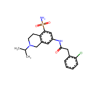 CC(C)N1CCc2c(cc(NC(=O)Cc3ccccc3Cl)cc2S(N)(=O)=O)C1